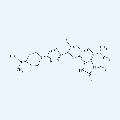 CC(C)c1nc2cc(F)c(-c3ccc(N4CCC(N(C)C)CC4)nc3)cc2c2[nH]c(=O)n(C)c12